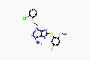 COc1ccc(F)cc1Sc1nc2c(N)ncn(CCc3ccccc3Cl)c-2n1